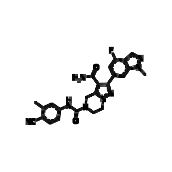 Cc1cc(NC(=O)N2CCn3nc(-c4cc(F)c5cnn(C)c5c4)c(C(N)=O)c3C2)ccc1C#N